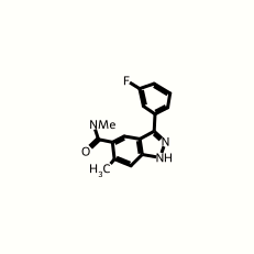 CNC(=O)c1cc2c(-c3cccc(F)c3)n[nH]c2cc1C